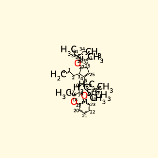 C=CCC1C(CCC(O[Si](C)(C)C(C)(C)C)C(C)Oc2ccccc2)=CCC1O[Si](CC)(CC)CC